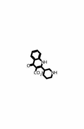 O=C(O)c1c(C2CCCNC2)[nH]c2ccccc2c1=O